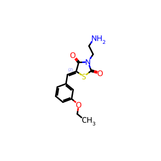 CCOc1cccc(/C=C2\SC(=O)N(CCN)C2=O)c1